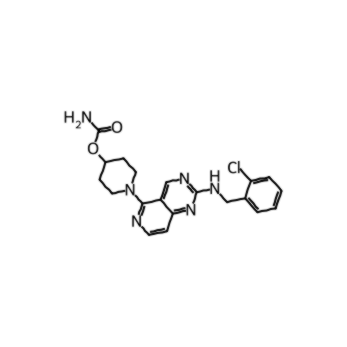 NC(=O)OC1CCN(c2nccc3nc(NCc4ccccc4Cl)ncc23)CC1